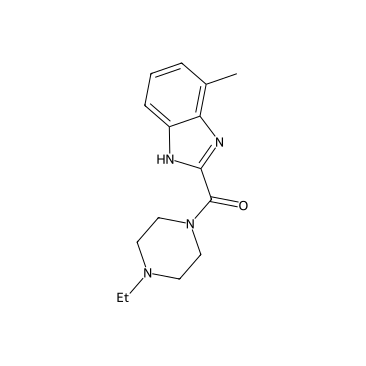 CCN1CCN(C(=O)c2nc3c(C)cccc3[nH]2)CC1